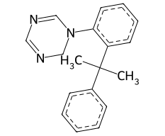 CC(C)(c1ccccc1)c1ccccc1N1C=NC=NC1